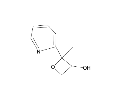 CC1(c2ccccn2)OCC1O